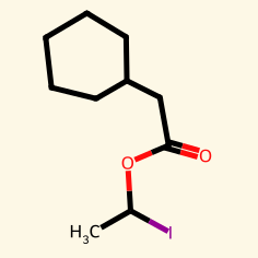 CC(I)OC(=O)CC1CCCCC1